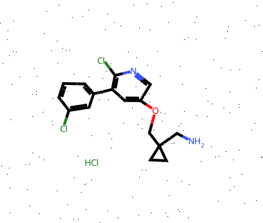 Cl.NCC1(COc2cnc(Cl)c(-c3cccc(Cl)c3)c2)CC1